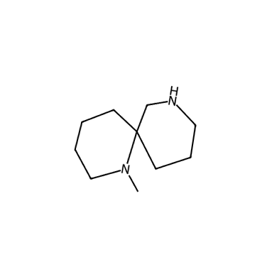 CN1CCCCC12CCCNC2